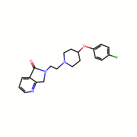 O=C1c2cccnc2CN1CCN1CCC(Oc2ccc(F)cc2)CC1